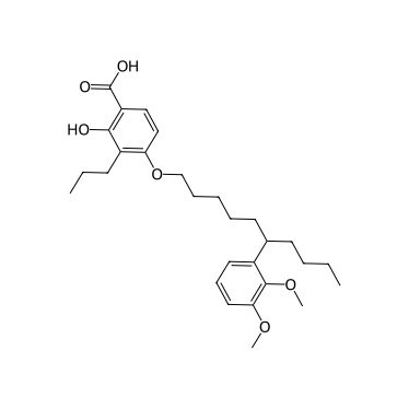 CCCCC(CCCCCOc1ccc(C(=O)O)c(O)c1CCC)c1cccc(OC)c1OC